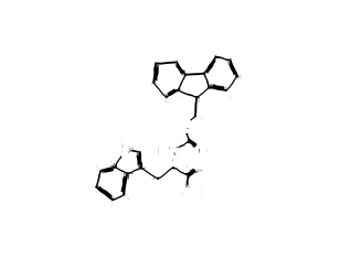 C[C@H](c1c[nH]c2ccccc12)[C@H](NC(=O)OCC1c2ccccc2-c2ccccc21)C(=O)O